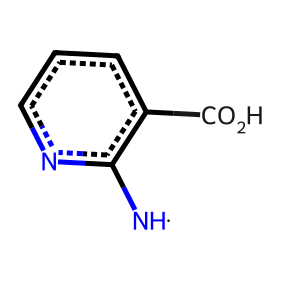 [NH]c1ncccc1C(=O)O